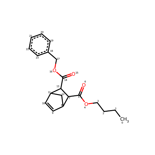 CCCCOC(=O)C1C2C=CC(C2)C1C(=O)OCc1ccccc1